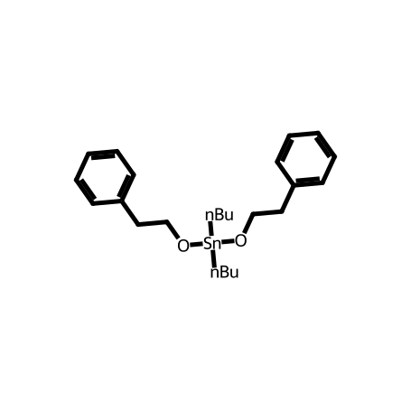 CCC[CH2][Sn]([CH2]CCC)([O]CCc1ccccc1)[O]CCc1ccccc1